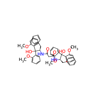 COc1ccccc1C(O)(c1ccccc1OC)[C@@H](Cc1ccccc1)NC(=O)CC(=O)N[C@H](Cc1ccccc1)C(O)(c1ccccc1OC)c1ccccc1OC